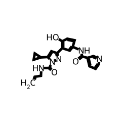 C=CCNC(=O)n1nc(-c2cc(NC(=O)c3cccnc3)ccc2O)cc1C1CC1